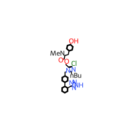 CCCCc1nc(Cl)c(COC(=O)C(Cc2ccc(O)cc2)NC)n1Cc1ccc(-c2ccccc2-c2nn[nH]n2)cc1